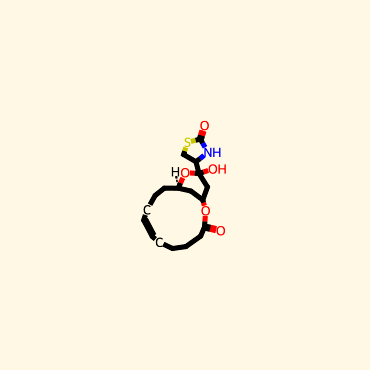 O=C1CCCC/C=C\CCC[C@@H]2CC(CC(O)(C3CSC(=O)N3)O2)O1